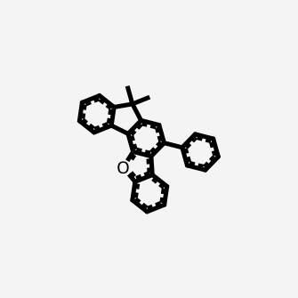 CC1(C)c2ccccc2-c2c1cc(-c1ccccc1)c1c2oc2ccccc21